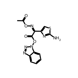 CC(=O)O/N=C(\C(=O)On1nnc2ccccc21)c1csc(N)n1